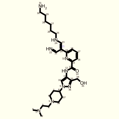 CN(C)CCN1CCC(n2cc(NC(=O)c3cccc(/C(C=N)=C/NCCCCCCN)n3)c(CO)n2)CC1